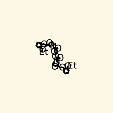 CCOc1ccccc1OCC1CN(C(=O)OCOC(=O)N2CCOC(COc3ccccc3OCC)C2)CCO1